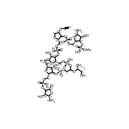 B[C@H](OC(COP(=O)(O)OC1[C@@H](COP(=O)(O)OC2[C@@H](CC)O[C@@H](B)[C@H]2O)O[C@@H](B)[C@H]1O)OP(=O)(O)OC[C@H]1O[C@@H](B)[C@@H](O)C1OP(=O)(O)OC[C@H]1OC[C@@H](OC#C)C1OP(=O)(O)OC[C@H]1O[C@@H](B)[C@@H](O)C1OP(=O)(O)OC)[C@H](C)O